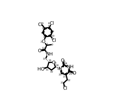 CC(Oc1cc(Cl)c(Cl)cc1Cl)C(=O)NC[C@@H]1O[C@H](n2cc(CCCl)c(=O)[nH]c2=O)CC1O